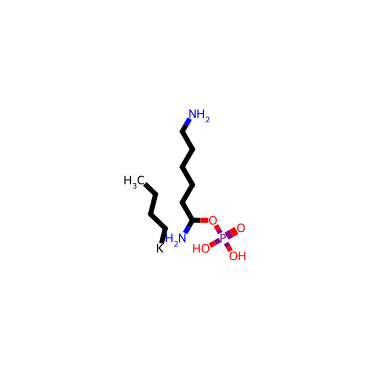 CCC[CH2][K].NCCCCCC(N)OP(=O)(O)O